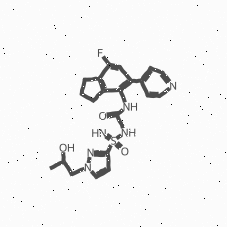 CC(O)Cn1ccc(S(=N)(=O)NC(=O)Nc2c(-c3ccncc3)cc(F)c3c2CCC3)n1